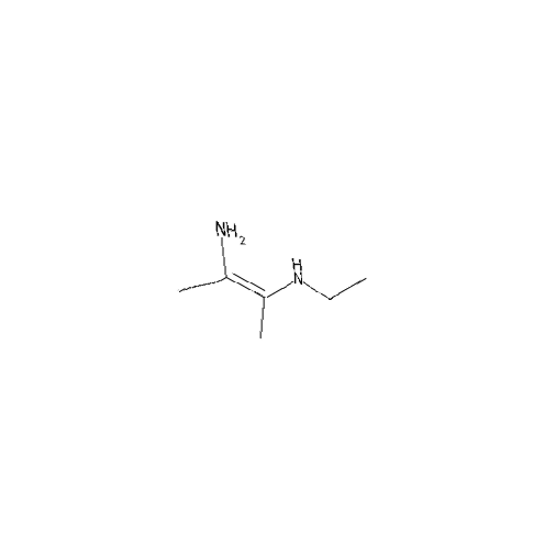 CCN/C(C)=C(/C)N